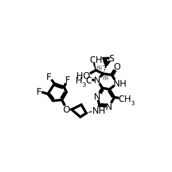 Cc1nc(N[C@H]2C[C@H](Oc3cc(F)c(F)c(F)c3)C2)nc2c1NC(=O)[C@](C1=CS1)([C@H](C)O)N2C